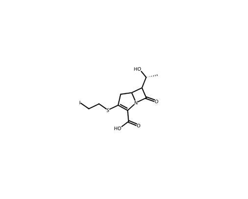 C[C@@H](O)C1C(=O)N2C(C(=O)O)=C(SCCI)CC12